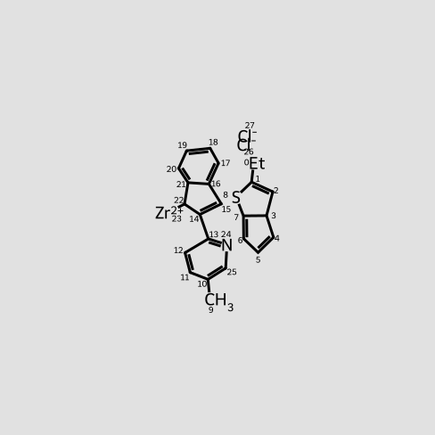 CCC1=CC2C=CC=C2S1.Cc1ccc(C2=Cc3ccccc3[CH]2[Zr+2])nc1.[Cl-].[Cl-]